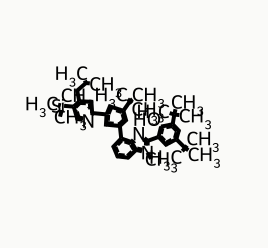 CC(C)Cc1cc(-c2cc(-c3cccc4c3nc(-c3cc(C(C)(C)C)cc(C(C)(C)C)c3O)n4C)cc(C(C)(C)C)c2)ncc1[Si](C)(C)C